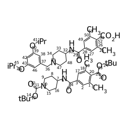 Cc1cc(C(=O)NC2CCN(C(=O)OC(C)(C)C)CC2)cc(C)c1C(=O)OC(C)(C)C.Cc1cc(C(=O)NC2CCN(Cc3cc(OC(C)C)cc(OC(C)C)c3)CC2)cc(C)c1C(=O)O